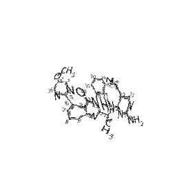 COc1cnc(-c2cccc3nc(C(C)Nc4nc(N)ncc4C#N)n(-c4ccccc4)c(=O)c23)nc1